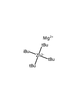 CC[CH](C)[Zn-2]([C](C)(C)C)([C](C)(C)C)[C](C)(C)C.[Mg+2]